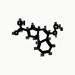 COc1cc2nc(C(=O)O)cn2c2ccccc12